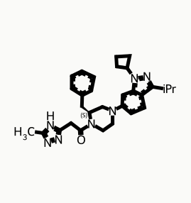 Cc1nnc(CC(=O)N2CCN(c3ccc4c(C(C)C)nn(C5CCC5)c4c3)C[C@@H]2Cc2ccccc2)[nH]1